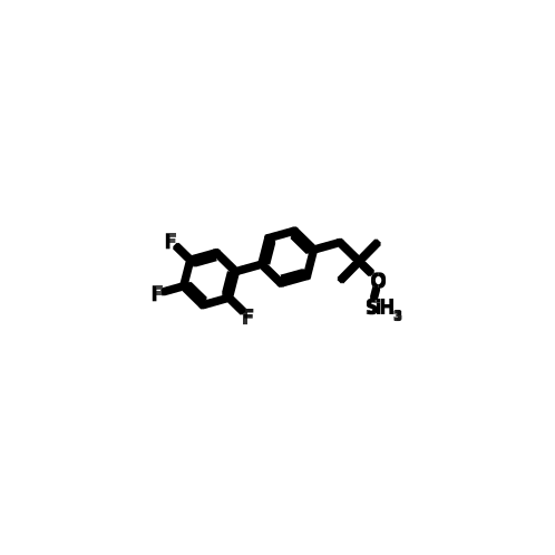 CC(C)(Cc1ccc(-c2cc(F)c(F)cc2F)cc1)O[SiH3]